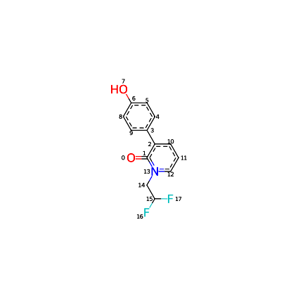 O=c1c(-c2ccc(O)cc2)cccn1CC(F)F